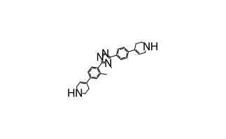 Cc1cc(C2=CCNCC2)ccc1-c1nnc(-c2ccc(C3=CCNCC3)cc2)n1C